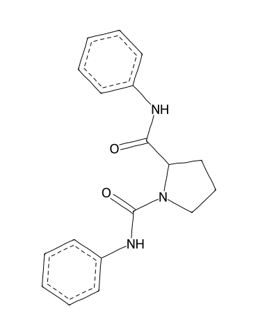 O=C(Nc1ccccc1)C1CCCN1C(=O)Nc1ccccc1